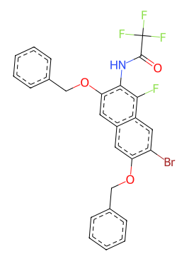 O=C(Nc1c(OCc2ccccc2)cc2cc(OCc3ccccc3)c(Br)cc2c1F)C(F)(F)F